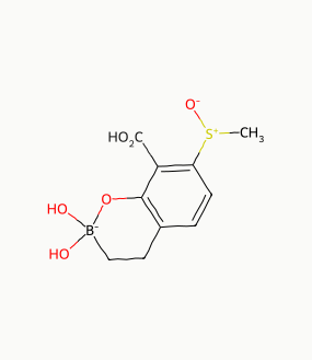 C[S+]([O-])c1ccc2c(c1C(=O)O)O[B-](O)(O)CC2